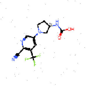 N#Cc1ncc(N2CC[C@@H](NC(=O)O)C2)cc1C(F)(F)F